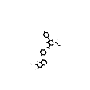 COc1cc2nccc(Oc3ccc(NC(=O)c4cn(CCF)c(C)c(-c5ccc(F)cc5)c4=O)cc3)c2nc1OC